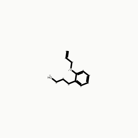 C=CCOc1ccccc1CCCO